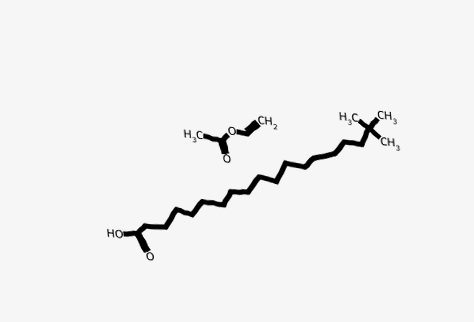 C=COC(C)=O.CC(C)(C)CCCCCCCCCCCCCCCCC(=O)O